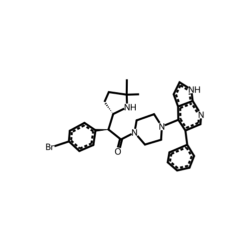 CC1(C)CC[C@@H]([C@@H](C(=O)N2CCN(c3c(-c4ccccc4)cnc4[nH]ccc34)CC2)c2ccc(Br)cc2)N1